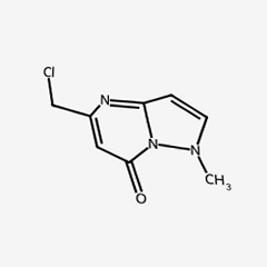 Cn1ccc2nc(CCl)cc(=O)n21